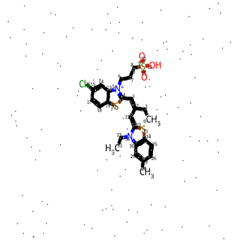 CCC(=CC1=[N+](CCCS(=O)(=O)O)C2C=C(Cl)C=CC2S1)C=C1Sc2ccc(C)cc2N1CC